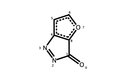 O=C1N=Nc2ccoc21